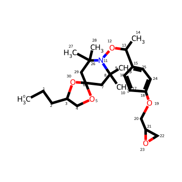 CCCC1COC2(CC(C)(C)N(OC(C)c3ccc(OCC4CO4)cc3)C(C)(C)C2)O1